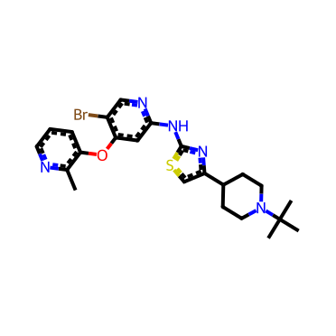 Cc1ncccc1Oc1cc(Nc2nc(C3CCN(C(C)(C)C)CC3)cs2)ncc1Br